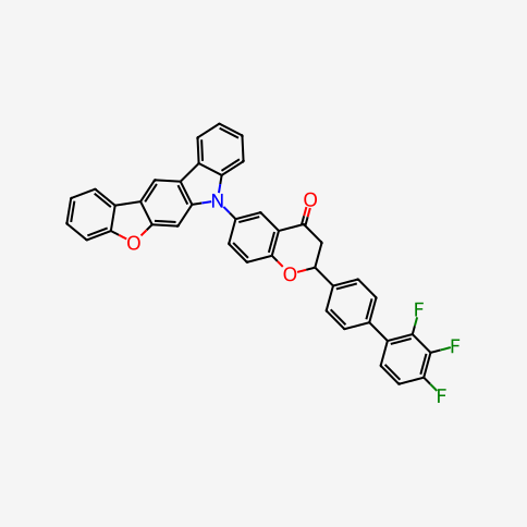 O=C1CC(c2ccc(-c3ccc(F)c(F)c3F)cc2)Oc2ccc(-n3c4ccccc4c4cc5c(cc43)oc3ccccc35)cc21